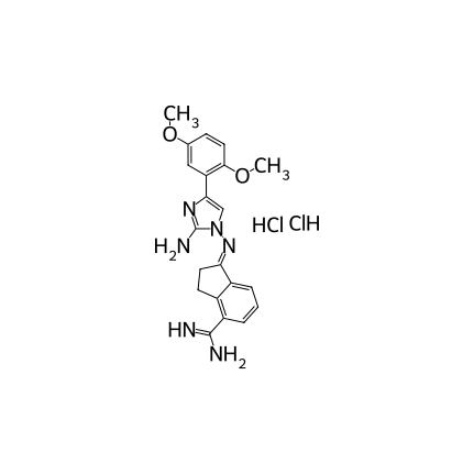 COc1ccc(OC)c(-c2cn(N=C3CCc4c(C(=N)N)cccc43)c(N)n2)c1.Cl.Cl